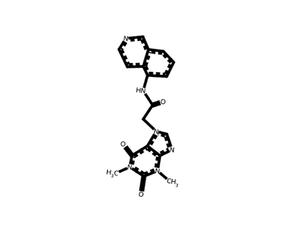 Cn1c(=O)c2c(ncn2CC(=O)Nc2cccc3cnccc23)n(C)c1=O